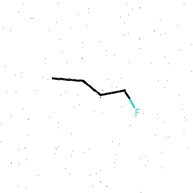 CC[CH]CF